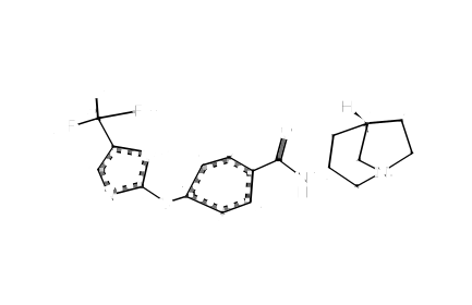 O=C(N[C@@H]1C[C@@H]2CCN(C2)C1)c1ccc(Sc2ncc(C(F)(F)F)o2)cc1